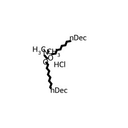 CCCCCCCCCCCCCCCCCCOC(CN(C)C)OCCCCCCCCCCCCCCCCCC.Cl